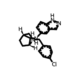 Clc1ccc(CN2C[C@H]3CC[C@@H]2[C@@H]3Nc2ccc3[nH]ncc3c2)cc1